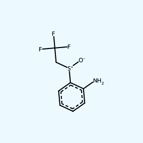 Nc1ccccc1[S+]([O-])CC(F)(F)F